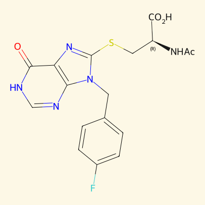 CC(=O)N[C@@H](CSc1nc2c(=O)[nH]cnc2n1Cc1ccc(F)cc1)C(=O)O